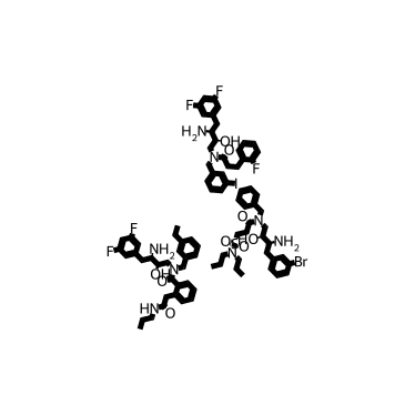 CCCN(CCC)S(=O)(=O)CCC(=O)N(Cc1ccccc1)C[C@@H](O)[C@@H](N)Cc1cccc(Br)c1.CCCNC(=O)Cc1ccccc1C(=O)N(Cc1cccc(CC)c1)C[C@@H](O)[C@@H](N)Cc1cc(F)cc(F)c1.N[C@@H](Cc1cc(F)cc(F)c1)[C@H](O)CN(Cc1cccc(I)c1)C(=O)CCc1ccccc1F